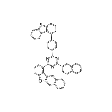 c1ccc2cc(-c3nc(-c4ccc(-c5cccc6sc7ccccc7c56)cc4)nc(-c4cccc5oc6cc7ccccc7cc6c45)n3)ccc2c1